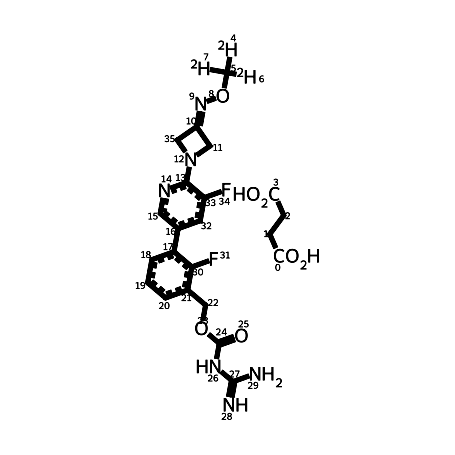 O=C(O)CCC(=O)O.[2H]C([2H])([2H])ON=C1CN(c2ncc(-c3cccc(COC(=O)NC(=N)N)c3F)cc2F)C1